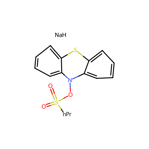 CCCS(=O)(=O)ON1c2ccccc2Sc2ccccc21.[NaH]